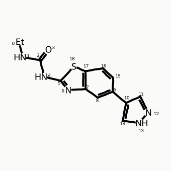 CCNC(=O)Nc1nc2cc(-c3cn[nH]c3)ccc2s1